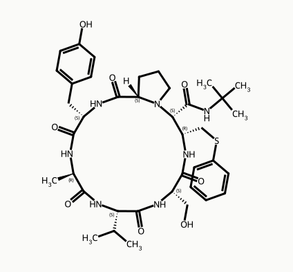 CC(C)[C@@H]1NC(=O)[C@@H](C)NC(=O)[C@H](Cc2ccc(O)cc2)NC(=O)[C@@H]2CCCN2[C@H](C(=O)NC(C)(C)C)[C@H](CSc2ccccc2)NC(=O)[C@H](CO)NC1=O